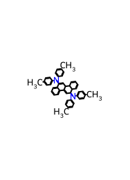 Cc1ccc(N(C2=CC3C(=CC(N(c4ccc(C)cc4)c4ccc(C)cc4)C4C=CC=CC34)c3ccccc32)c2ccc(C)cc2)cc1